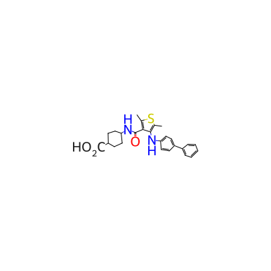 Cc1sc(C)c(C(=O)NC2CCC(C(=O)O)CC2)c1Nc1ccc(-c2ccccc2)cc1